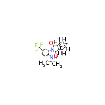 CC(C)Nc1ccc(C(F)(F)F)cc1N1C(=O)[C@@H]2[C@@H]3CC[C@@H]([C@@H]4C[C@@H]43)[C@@H]2C1=O